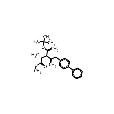 C=C(Cc1ccc(-c2ccccc2)cc1)C(C(=C)OC(C)(C)C)[C@@H](C)C(=O)OC